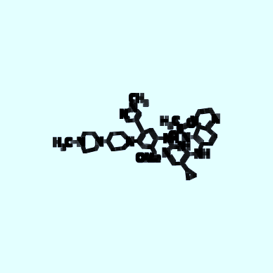 COc1cc(N2CCC(N3CCN(C)CC3)CC2)c(-c2cnn(C)c2)cc1Nc1ncc(C2CC2)c(Nc2ccc3nccnc3c2NS(C)(=O)=O)n1